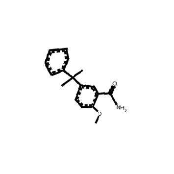 COc1ccc(C(C)(C)c2ccccc2)cc1C(N)=O